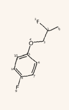 CC(F)COc1ccc(F)cc1